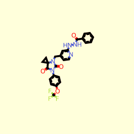 O=C(NNc1cc(CN2C(=O)N(c3ccc(OC(F)(F)F)cc3)C(=O)C23CC3)ccn1)c1ccccc1